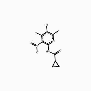 Cc1nc(NC(=O)C2CC2)c([N+](=O)[O-])c(C)c1Cl